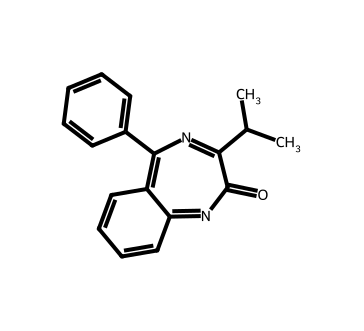 CC(C)c1nc(-c2ccccc2)c2ccccc2nc1=O